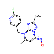 CSc1nc2n(Cc3ccc(Cl)nc3)c(C)c/c(=N\O)n2n1